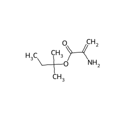 C=C(N)C(=O)OC(C)(C)CC